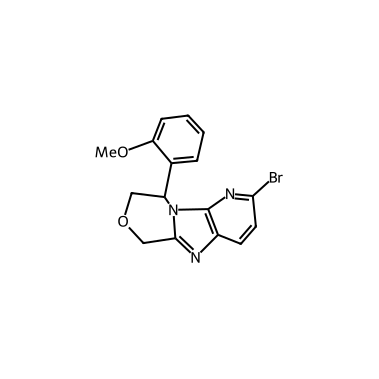 COc1ccccc1C1COCc2nc3ccc(Br)nc3n21